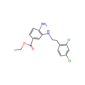 CCOC(=O)c1ccc(N)c(NCCc2ccc(Cl)cc2Cl)c1